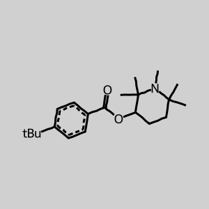 CN1C(C)(C)CCC(OC(=O)c2ccc(C(C)(C)C)cc2)C1(C)C